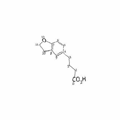 O=C(O)CCCc1ccc2c(c1)CCO2